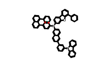 C1=CCCC(c2cccc3c2oc2cc(N(c4ccc(-c5cccc6cccc(-c7ccccc7)c56)cc4)c4ccc5cc(-c6cccc(-n7c8ccccc8c8ccccc87)c6)ccc5c4)ccc23)=C1